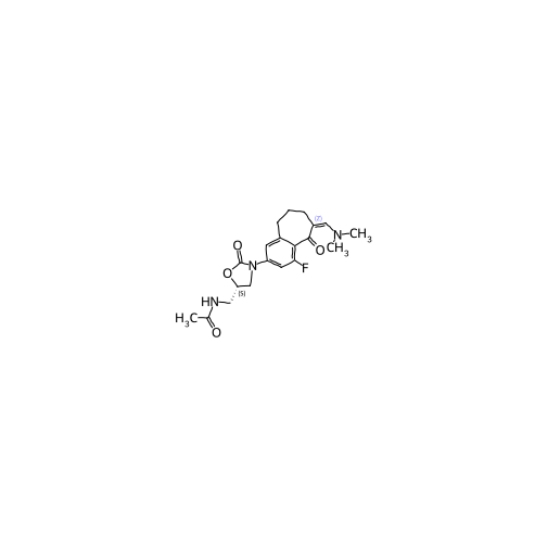 CC(=O)NC[C@H]1CN(c2cc(F)c3c(c2)CCC/C(=C/N(C)C)C3=O)C(=O)O1